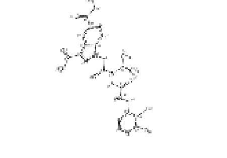 CC(=O)c1nn(CC(=O)N(CC(=O)NCc2cccc(Cl)c2F)C(C)C)c2ccc(C(=O)CO)cc12